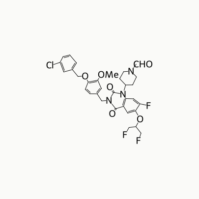 COc1cc(Cn2c(=O)c3cc(OC(CF)CF)c(F)cc3n(C3CCN(C=O)CC3)c2=O)ccc1OCc1cccc(Cl)c1